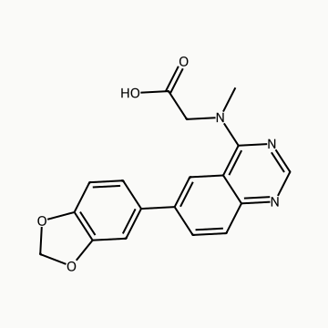 CN(CC(=O)O)c1ncnc2ccc(-c3ccc4c(c3)OCO4)cc12